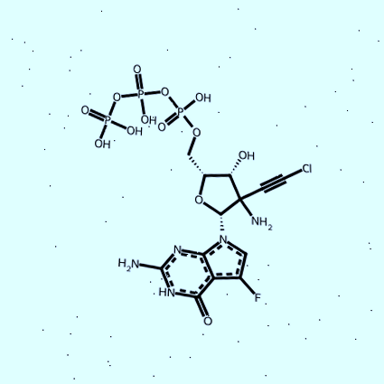 Nc1nc2c(c(F)cn2[C@@H]2O[C@H](COP(=O)(O)OP(=O)(O)OP(=O)(O)O)[C@H](O)C2(N)C#CCl)c(=O)[nH]1